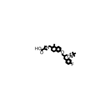 CC1=C(CN2CC(C(=O)O)C2)CCc2cc(OCC(CO[Si](C)(C)C(C)(C)C)Cc3ccc(F)cc3)ccc21